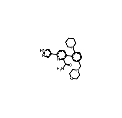 NC(=O)c1nc(-c2cn[nH]c2)ccc1-c1cc(CN2CCOCC2)ccc1N1CCCCC1